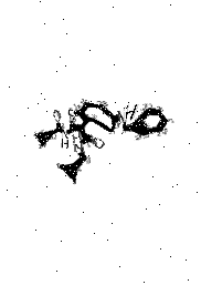 O=C(NCC1CC1)c1c(NC(=O)C2CC2)sc2c1CC(NCc1ccccc1)CC2